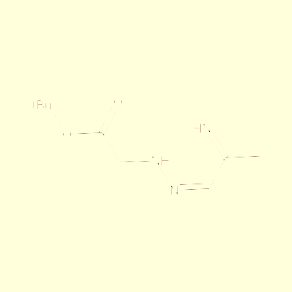 CC(=N)/C=N\NCC(=O)OC(C)(C)C